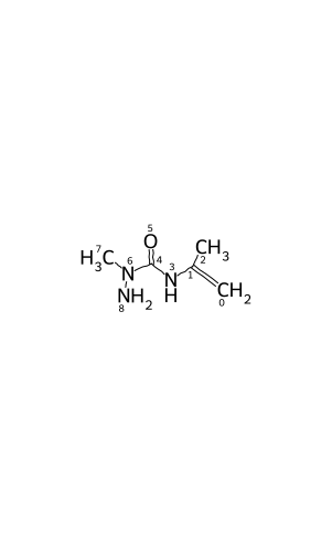 C=C(C)NC(=O)N(C)N